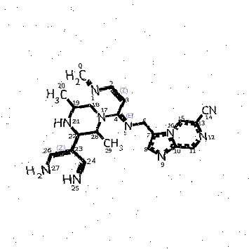 C=N/C=C\C(=N/Cc1cnc2cnc(C#N)cn12)N1CC(C)NC(/C(C=N)=C/N)C1C